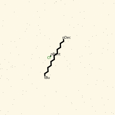 CCCCCCCCCCCCCCCCCCCCCCC(C)(C)C.CCCCCCl